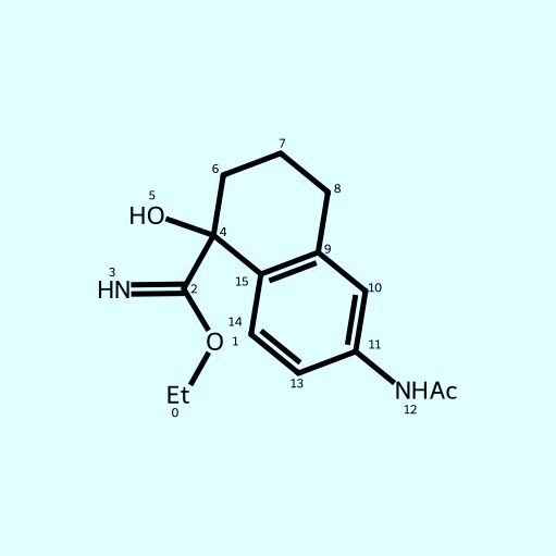 CCOC(=N)C1(O)CCCc2cc(NC(C)=O)ccc21